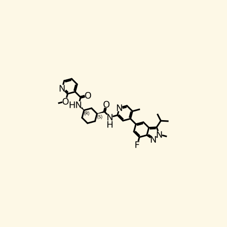 COc1ncccc1C(=O)N[C@@H]1CCC[C@H](C(=O)Nc2cc(-c3cc(F)c4nn(C)c(C(C)C)c4c3)c(C)cn2)C1